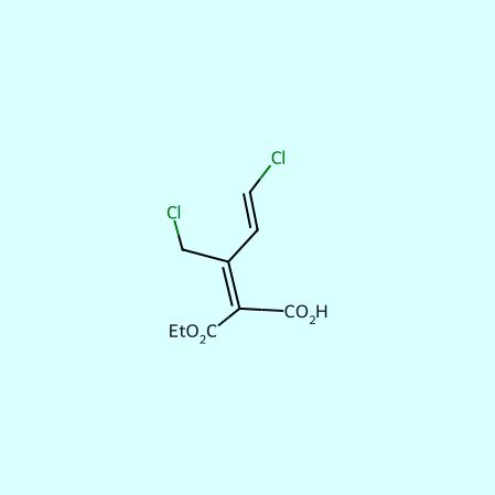 CCOC(=O)C(C(=O)O)=C(C=CCl)CCl